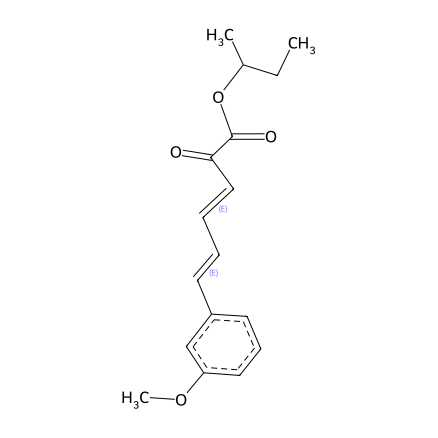 CCC(C)OC(=O)C(=O)/C=C/C=C/c1cccc(OC)c1